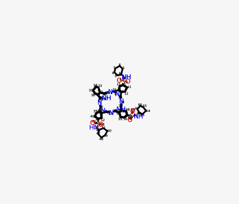 O=S(=O)(NC1CCCCC1)c1ccc2c(c1)-c1nc-2nc2[nH]c(nc3nc(nc4[nH]c(n1)c1ccccc41)-c1ccc(S(=O)(=O)NC4CCCCC4)cc1-3)c1ccc(S(=O)(=O)NC3CCCCC3)cc21